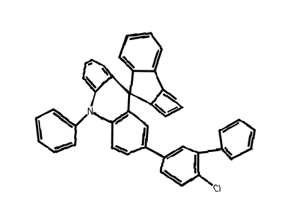 Clc1ccc(-c2ccc3c(c2)C2(c4ccccc4-c4ccccc42)c2ccccc2N3c2ccccc2)cc1-c1ccccc1